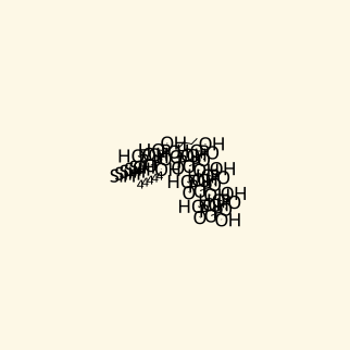 CCCC.O=P(O)(O)OP(=O)(O)OP(=O)(O)O.O=P(O)(O)OP(=O)(O)OP(=O)(O)O.O=P(O)(O)OP(=O)(O)OP(=O)(O)O.O=P(O)(O)OP(=O)(O)OP(=O)(O)O.[SiH4].[SiH4].[SiH4].[SiH4].[SiH4]